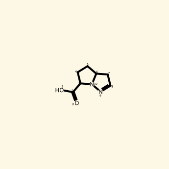 O=C(O)C1CCC2CC=NN21